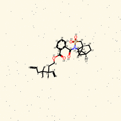 C=CCC(C)(C)[C@@](C)(C=C)CCOC(=O)c1ccccc1C(=O)N1C2C[C@H]3CC[C@@]2(CS1(=O)=O)C3(C)C